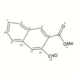 COC(=O)c1cc2ccccc2cc1C=O